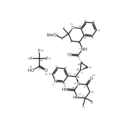 COCC1(C)CC(NC(=O)[C@@H]2C[C@H]2[C@H](c2cccnc2)N2C(=N)NC(C)(C)CC2=O)c2ccccc2O1.O=C(O)C(F)(F)F